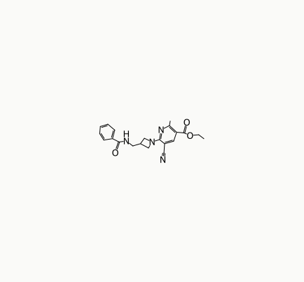 CCOC(=O)c1cc(C#N)c(N2CC(CNC(=O)c3ccccc3)C2)nc1C